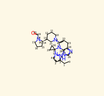 CCc1ccn(C2(N3C(N4CCCC([C@H]5CCCN5C=O)C4)=CCc4nc[nH]c43)CC2)n1